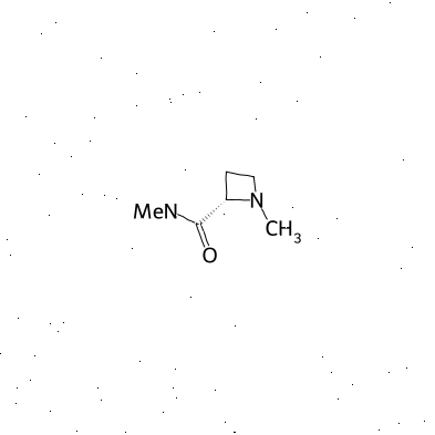 CNC(=O)[C@@H]1CCN1C